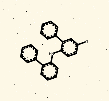 Clc1ccc(Nc2ccccc2-c2ccccc2)c(-c2ccccc2)c1